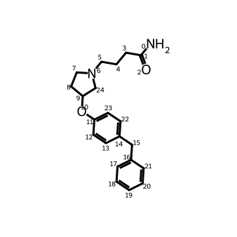 NC(=O)CCCN1CCC(Oc2ccc(Cc3ccccc3)cc2)C1